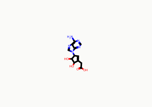 Nc1ncnc2c1ncn2C1C=C(CC(=O)O)C(O)C1O